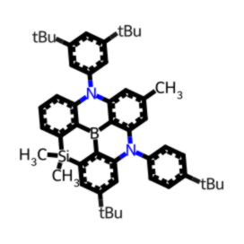 Cc1cc2c3c(c1)N(c1ccc(C(C)(C)C)cc1)c1cc(C(C)(C)C)cc4c1B3c1c(cccc1[Si]4(C)C)N2c1cc(C(C)(C)C)cc(C(C)(C)C)c1